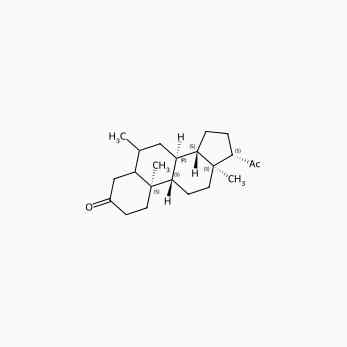 CC(=O)[C@H]1CC[C@H]2[C@@H]3CC(C)C4CC(=O)CC[C@]4(C)[C@H]3CC[C@]12C